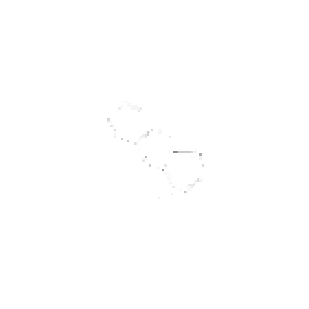 Cc1nccc(C(=O)O)c1[AsH]c1ccccc1